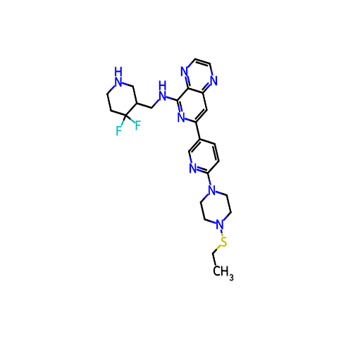 CCSN1CCN(c2ccc(-c3cc4nccnc4c(NCC4CNCCC4(F)F)n3)cn2)CC1